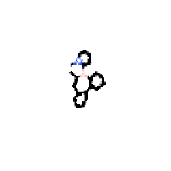 CC1=Cc2ccccc2-c2ccccc2B1c1cccc[n+]1C